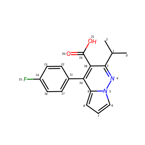 CC(C)c1nn2cccc2c(-c2ccc(F)cc2)c1C(=O)O